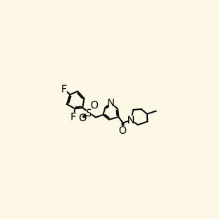 CC1CCN(C(=O)c2cncc(CS(=O)(=O)c3ccc(F)cc3F)c2)CC1